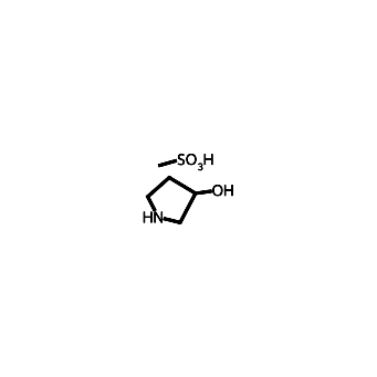 CS(=O)(=O)O.OC1CCNC1